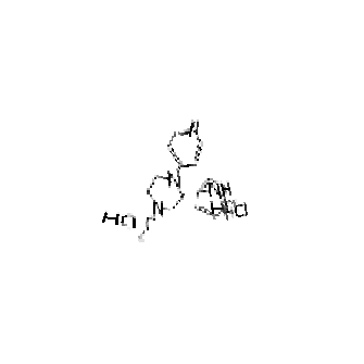 Cl.Cl.O=C(O)N1CCN(c2ccncc2)CC1.c1cc2ccc1[nH]2